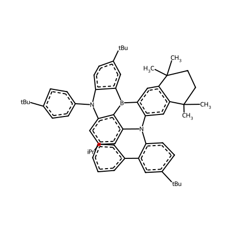 CC(C)c1cc2c3c(c1)N(c1ccc(C(C)(C)C)cc1-c1ccccc1)c1cc4c(cc1B3c1cc(C(C)(C)C)ccc1N2c1ccc(C(C)(C)C)cc1)C(C)(C)CCC4(C)C